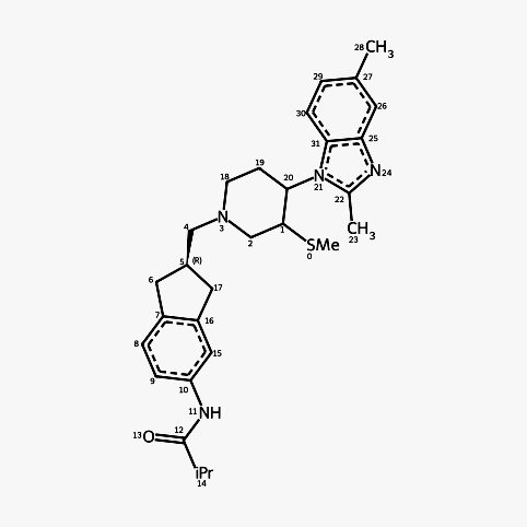 CSC1CN(C[C@@H]2Cc3ccc(NC(=O)C(C)C)cc3C2)CCC1n1c(C)nc2cc(C)ccc21